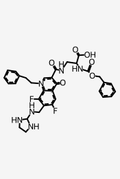 O=C(NC(CNC(=O)c1cn(CCc2ccccc2)c2c(F)c(CNC3NCCN3)c(F)cc2c1=O)C(=O)O)OCc1ccccc1